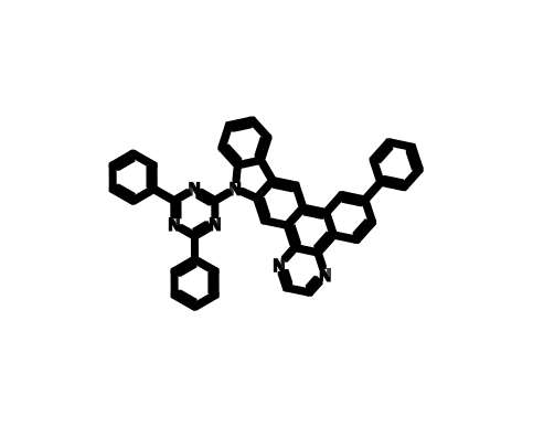 c1ccc(-c2ccc3c(c2)c2cc4c5ccccc5n(-c5nc(-c6ccccc6)nc(-c6ccccc6)n5)c4cc2c2nccnc32)cc1